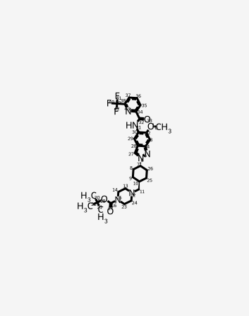 COc1cc2nn([C@H]3CC[C@H](CN4CCN(C(=O)OC(C)(C)C)CC4)CC3)cc2cc1NC(=O)c1cccc(C(F)(F)F)n1